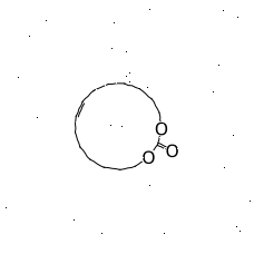 O=C1OCCCCCC/C=C\CCCCCCO1